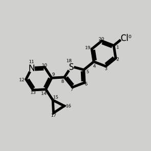 Clc1ccc(-c2ccc(-c3cnccc3C3CC3)s2)cc1